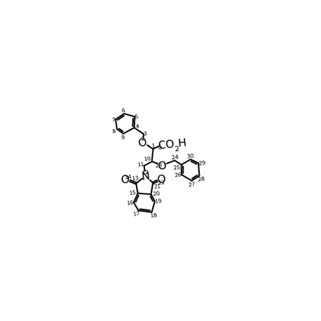 O=C(O)C(OCc1ccccc1)C(CN1C(=O)c2ccccc2C1=O)OCc1ccccc1